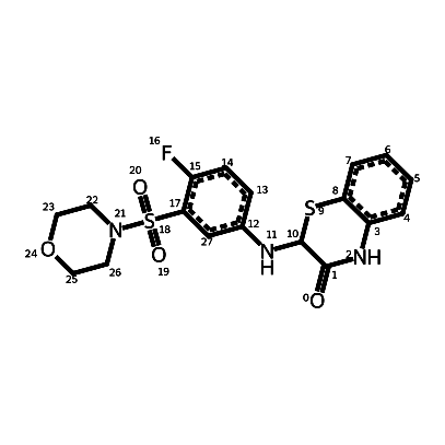 O=C1Nc2ccccc2SC1Nc1ccc(F)c(S(=O)(=O)N2CCOCC2)c1